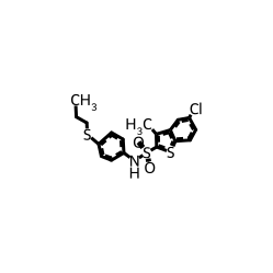 CCCSc1ccc(NS(=O)(=O)c2sc3ccc(Cl)cc3c2C)cc1